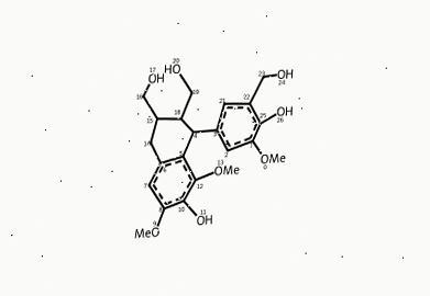 COc1cc(C2c3c(cc(OC)c(O)c3OC)CC(CO)C2CO)cc(CO)c1O